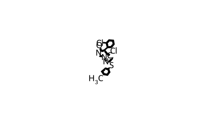 Cc1ccc(Sc2ccc3c(-c4c(Cl)cccc4Cl)c(=O)ncn3n2)cc1